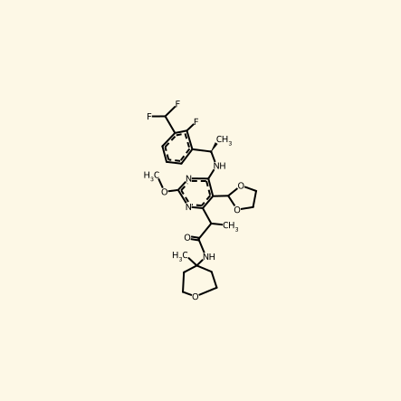 COc1nc(N[C@H](C)c2cccc(C(F)F)c2F)c(C2OCCO2)c(C(C)C(=O)NC2(C)CCOCC2)n1